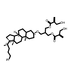 C=C(CO)C(=O)OCC(COC(=O)C(=C)CO)CO[C@H]1CC[C@@]2(C)C(CC[C@@H]3C2CC[C@@]2(C)C3CC[C@@H]2[C@H](C)CCCC(C)C)C1